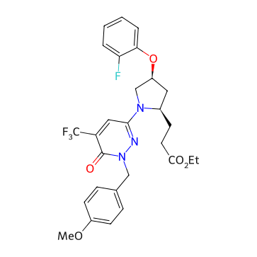 CCOC(=O)CC[C@@H]1C[C@H](Oc2ccccc2F)CN1c1cc(C(F)(F)F)c(=O)n(Cc2ccc(OC)cc2)n1